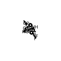 CCOC(=O)C[C@@H](NC(=O)OC(C)(C)C)c1cccc(NC(=O)CC(C)c2cc(B(O)O)ccc2OCC(F)F)c1